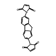 O=C1C=CC(=O)N1c1ccc2c(c1)Cc1cc(N3C(=O)C=CC3=O)ccc1-2